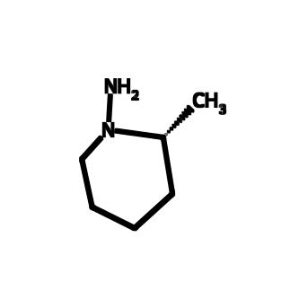 C[C@@H]1CCCCN1N